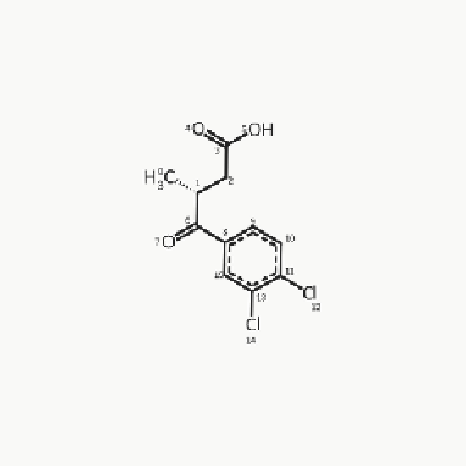 C[C@H](CC(=O)O)C(=O)c1ccc(Cl)c(Cl)c1